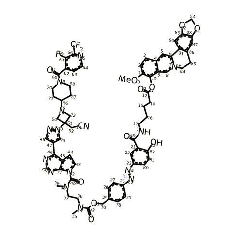 COc1ccc2cc3[n+](cc2c1OC(=O)CCCCNC(=O)c1cc(/N=N/c2ccc(COC(=O)N(C)CCN(C)C(=O)n4ccc5c(-c6cnn(C7(CC#N)CN(C8CCN(C(=O)c9ccnc(C(F)(F)F)c9F)CC8)C7)c6)ncnc54)cc2)ccc1O)CCc1cc2c(cc1-3)OCO2